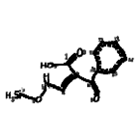 O=C(O)C(=CNO[SiH3])C(=O)c1ccccc1